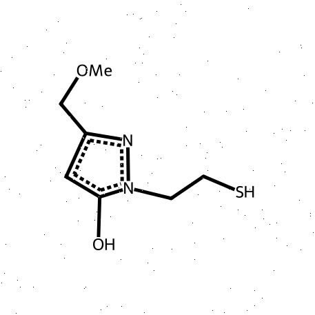 COCc1cc(O)n(CCS)n1